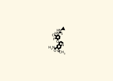 COc1cc2nccc(Oc3ccc(NC(=S)NC4CC4)c(Cl)c3F)c2cc1C(N)=O